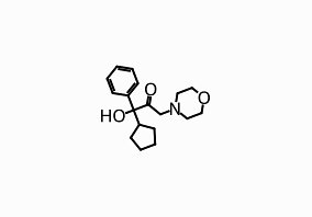 O=C(CN1CCOCC1)C(O)(c1ccccc1)C1CCCC1